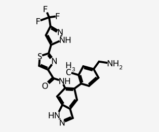 Cc1cc(CN)ccc1-c1cc2cn[nH]c2cc1NC(=O)c1csc(-c2cc(C(F)(F)F)n[nH]2)n1